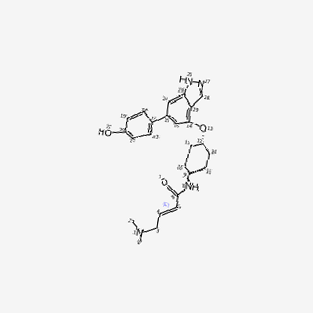 CN(C)C/C=C/C(=O)N[C@H]1CC[C@H](Oc2cc(-c3ccc(O)cc3)cc3[nH]ncc23)CC1